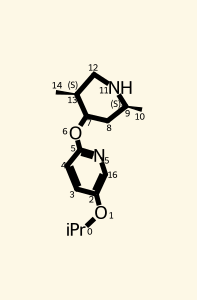 CC(C)Oc1ccc(OC2C[C@H](C)NC[C@@H]2C)nc1